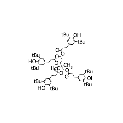 CC(C)(C)c1cc(CCC(=O)OC(CCC(C)(C)C(OC(=O)CCc2cc(C(C)(C)C)c(O)c(C(C)(C)C)c2)OC(=O)CCc2cc(C(C)(C)C)c(O)c(C(C)(C)C)c2)OC(=O)CCc2cc(C(C)(C)C)c(O)c(C(C)(C)C)c2)cc(C(C)(C)C)c1O